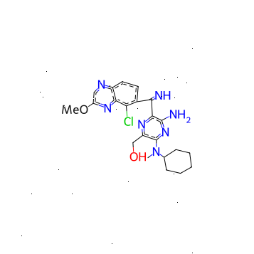 COc1cnc2ccc(C(=N)c3nc(CO)c(N(C)C4CCCCC4)nc3N)c(Cl)c2n1